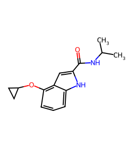 CC(C)NC(=O)c1cc2c(OC3CC3)cccc2[nH]1